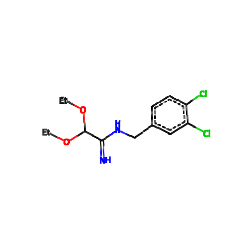 CCOC(OCC)C(=N)NCc1ccc(Cl)c(Cl)c1